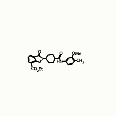 CCOC(=O)c1cccc2c1CN(C1CCC(C(=O)Nc3ccc(C)c(OC)c3)CC1)C2=O